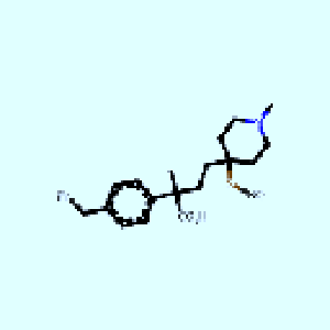 CC(C)Cc1ccc(C(C)(CCC2(SN=O)CCN(C)CC2)C(=O)O)cc1